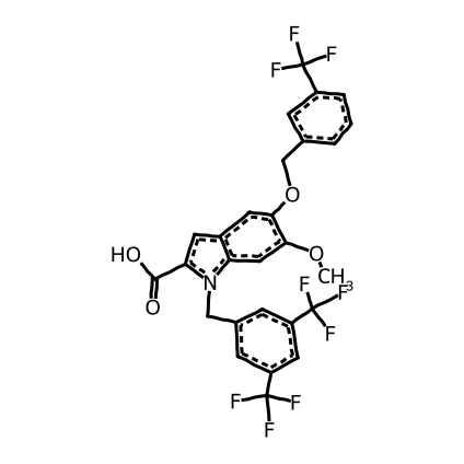 COc1cc2c(cc1OCc1cccc(C(F)(F)F)c1)cc(C(=O)O)n2Cc1cc(C(F)(F)F)cc(C(F)(F)F)c1